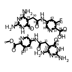 COC(=O)c1ncc(NC(=O)Cc2c(N)nc(N)[nH]c2=O)cc1F.Nc1nc(N)c(CC(=O)Nc2cnc(C(=O)O)c(F)c2)c(=O)[nH]1